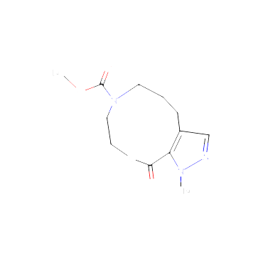 CC(C)(C)OC(=O)N1CCCC(=O)c2c(cnn2C(C)(C)C)CCC1